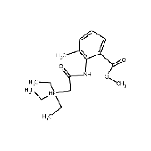 CC[PH](CC)(CC)CC(=O)Nc1c(C)cccc1C(=O)OC